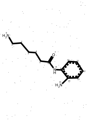 NCCCCCC(=O)Nc1ccccc1N